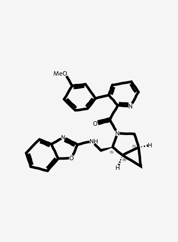 COc1cccc(-c2cccnc2C(=O)N2C[C@H]3C[C@H]3[C@H]2CNc2nc3ccccc3o2)c1